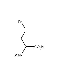 CNC(COC(C)C)C(=O)O